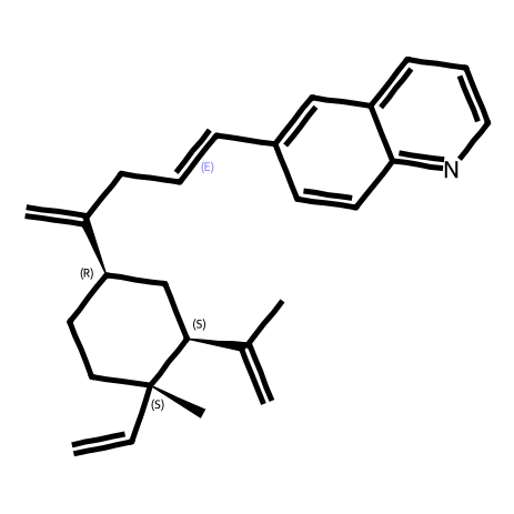 C=C[C@]1(C)CC[C@@H](C(=C)C/C=C/c2ccc3ncccc3c2)C[C@H]1C(=C)C